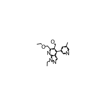 CCOCc1nc2c(cnn2CC)c(-c2cncc(C)c2)c1C=O